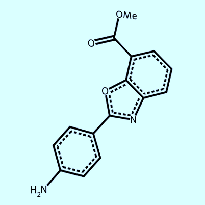 COC(=O)c1cccc2nc(-c3ccc(N)cc3)oc12